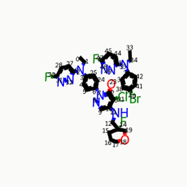 CCN(c1ccc(-n2ncc(NC[C@]3(F)CCCOC3)c(Cl)c2=O)cc1)c1ccc(F)nn1.CCN(c1ccc(Br)cc1)c1ccc(F)nn1